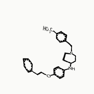 O=C(O)c1ccc(CN2CCC(Nc3ccc(OCCc4ccccc4)cc3)CC2)cc1